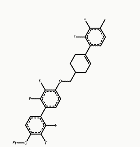 CCOc1ccc(-c2ccc(OCC3CC=C(c4ccc(C)c(F)c4F)CC3)c(F)c2F)c(F)c1F